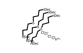 CCCCCCCCCCCCCSCCCCCCCCCCCCC.CCCCCCCCCCCCCSCCCCCCCCCCCCC.CCCCCCCCCCCCCSCCCCCCCCCCCCC.[Cl-].[Cl-].[Cl-].[Cl-].[Ir+4]